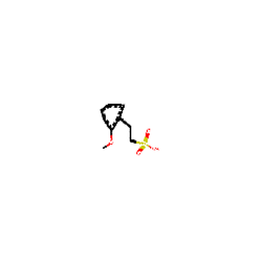 COc1ccccc1CCS(=O)(=O)O